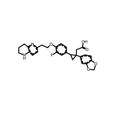 O=C(O)CC1(c2ccc3c(c2)OCO3)CC1c1ccc(OCCc2ccc3c(n2)CCCN3)c(F)c1